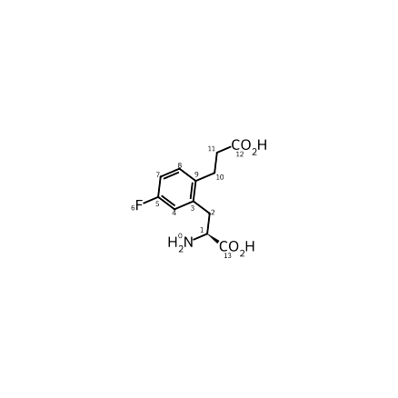 N[C@@H](Cc1cc(F)ccc1CCC(=O)O)C(=O)O